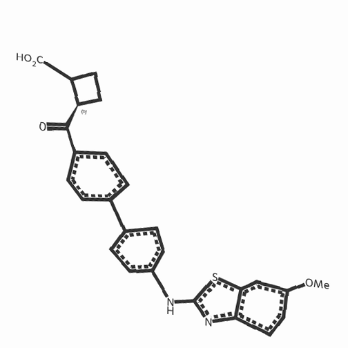 COc1ccc2nc(Nc3ccc(-c4ccc(C(=O)[C@@H]5CCC5C(=O)O)cc4)cc3)sc2c1